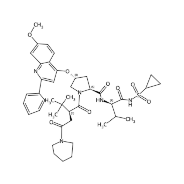 COc1ccc2c(O[C@@H]3C[C@@H](C(=O)N[C@@H](C(=O)NS(=O)(=O)C4CC4)C(C)C)N(C(=O)[C@@H](CC(=O)N4CCCCC4)C(C)(C)C)C3)cc(-c3ccccc3)nc2c1